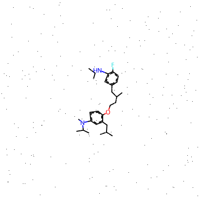 CC(C)Cc1cc(N(C)C(C)C)ccc1OCCC(C)Cc1ccc(F)c(NC(C)C)c1